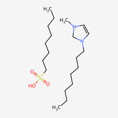 CCCCCCCCN1C=CN(C)C1.CCCCCCCCS(=O)(=O)O